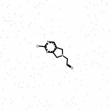 O=CCN1Cc2cnc(Cl)nc2C1